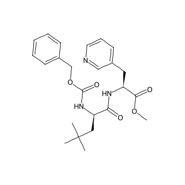 COC(=O)[C@H](Cc1cccnc1)NC(=O)[C@@H](CC(C)(C)C)NC(=O)OCc1ccccc1